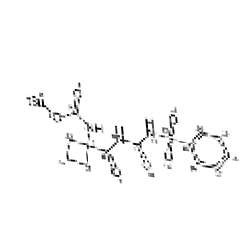 CC(C)(C)OC(=O)NC1(C(=O)NC(=O)NS(=O)(=O)c2ccccc2)CCC1